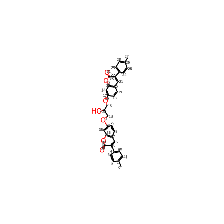 Cc1ccc(-c2cc3ccc(OCC(O)COc4ccc5cc(-c6ccc(C)cc6)c(=O)oc5c4)cc3oc2=O)cc1